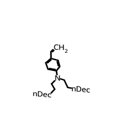 C=Cc1ccc(N(CCCCCCCCCCCC)CCCCCCCCCCCC)cc1